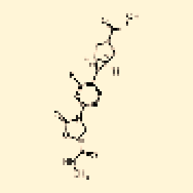 CNC(=O)[C@H]1CN(c2ccc(C3[C@H]4CN(C(=O)CO)C[C@@H]34)c(F)c2)C(=O)O1